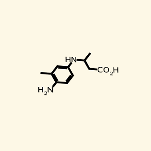 Cc1cc(NC(C)CC(=O)O)ccc1N